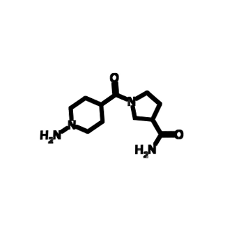 NC(=O)C1CCN(C(=O)C2CCN(N)CC2)C1